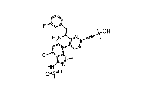 Cn1nc(NS(C)(=O)=O)c2c(Cl)ccc(-c3ccc(C#CC(C)(C)O)nc3[C@@H](N)Cc3cccc(F)c3)c21